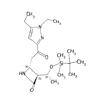 CCc1cc(C(=O)C[C@H]2NC(=O)[C@@H]2[C@@H](C)O[Si](C)(C)C(C)(C)C)nn1CC